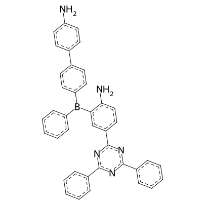 Nc1ccc(-c2ccc(B(c3ccccc3)c3cc(-c4nc(-c5ccccc5)nc(-c5ccccc5)n4)ccc3N)cc2)cc1